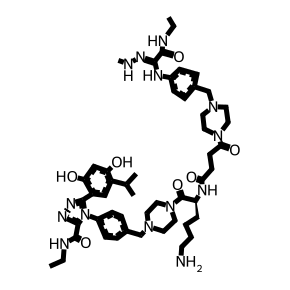 CCNC(=O)/C(=N/NC)Nc1ccc(CN2CCN(C(=O)CCC(=O)N[C@@H](CCCCN)C(=O)N3CCN(Cc4ccc(-n5c(C(=O)NCC)nnc5-c5cc(C(C)C)c(O)cc5O)cc4)CC3)CC2)cc1